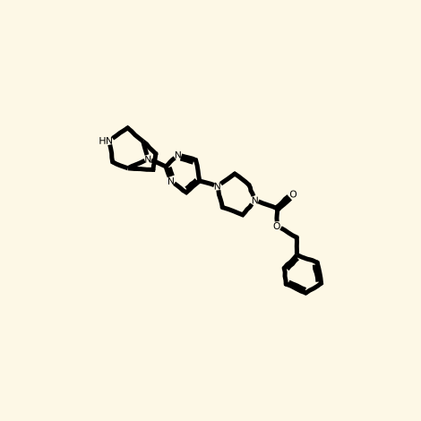 O=C(OCc1ccccc1)N1CCN(c2cnc(N3C4CCC3CNC4)nc2)CC1